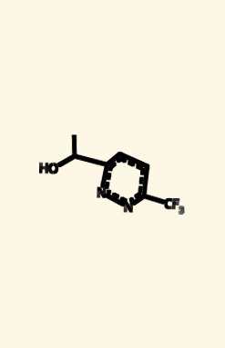 CC(O)c1ccc(C(F)(F)F)nn1